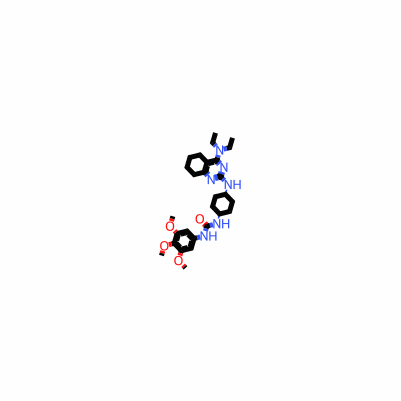 CCN(CC)c1nc(N[C@H]2CC[C@@H](NC(=O)Nc3cc(OC)c(OC)c(OC)c3)CC2)nc2c1CCCC2